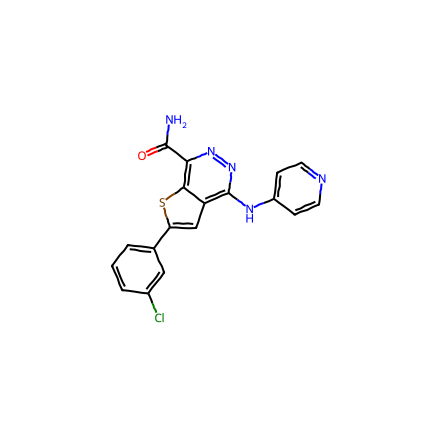 NC(=O)c1nnc(Nc2ccncc2)c2cc(-c3cccc(Cl)c3)sc12